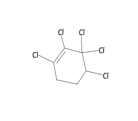 ClC1=C(Cl)C(Cl)(Cl)C(Cl)CC1